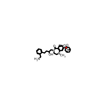 COC1CC2CC(C1)N2C(=O)c1ccc2c(c1)N(C)CCN(CC(O)CCc1ccccc1CN)C2=O